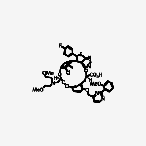 COCCN(CCOC)C[C@@H]1COc2ccc(OCc3ccnc(-c4ccccc4OC)n3)c(c2)C[C@H](C(=O)O)Oc2ncnc3sc(-c4ccc(F)cc4)c(c23)-c2ccc(c(Cl)c2C)O1